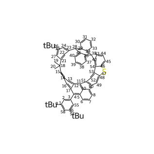 CC(C)(C)c1cc(-c2c3ccccc3c3c4ccc(cc24)C(C)(C)c2cc(cc(C(C)(C)C)c2)-c2c4ccccc4c(c4ccccc24)-c2cccc4sc5ccc-3cc5c24)cc(C(C)(C)C)c1